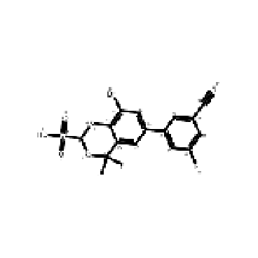 CC1(C)OC(S(=O)(=O)O)Nc2c(Br)cc(-c3cc(F)cc(C#N)c3)cc21